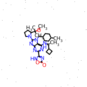 COC(C)(C)C1CCCN1c1nc2nc(-c3nc(=O)o[nH]3)nc(N[C@H](C)C3CCC3)c2n1CC1CCC(C)CC1